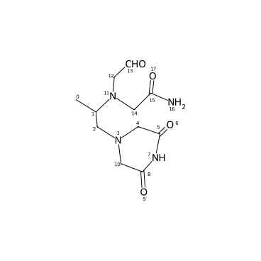 CC(CN1CC(=O)NC(=O)C1)N(CC=O)CC(N)=O